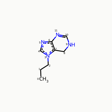 CCCn1cnc2c1CNC=N2